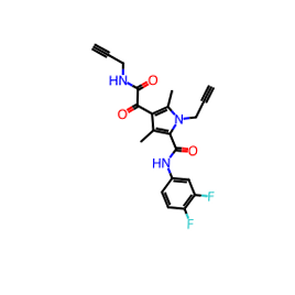 C#CCNC(=O)C(=O)c1c(C)c(C(=O)Nc2ccc(F)c(F)c2)n(CC#C)c1C